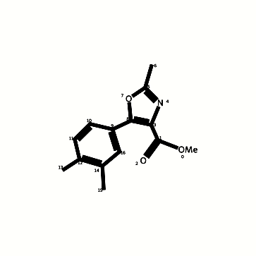 COC(=O)c1nc(C)oc1-c1ccc(C)c(C)c1